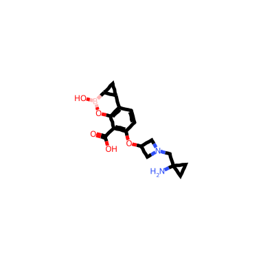 NC1(CN2CC(Oc3ccc4c(c3C(=O)O)OB(O)C3CC43)C2)CC1